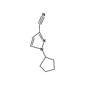 N#Cc1[c]cn(C2CCCC2)n1